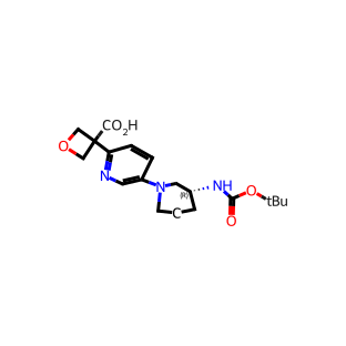 CC(C)(C)OC(=O)N[C@@H]1CCCN(c2ccc(C3(C(=O)O)COC3)nc2)C1